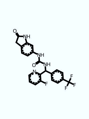 O=C1Cc2ccc(NC(=O)NC(c3ccc(C(F)(F)F)cc3)c3ncccc3F)cc2N1